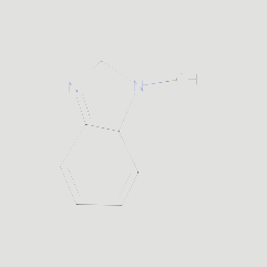 CN1CN=C2C=CC=CC21